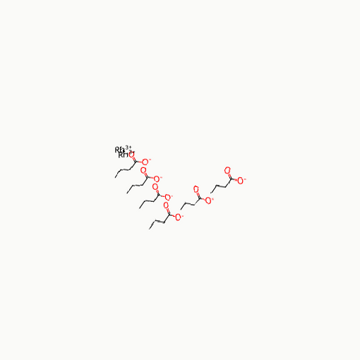 CCCC(=O)[O-].CCCC(=O)[O-].CCCC(=O)[O-].CCCC(=O)[O-].CCCC(=O)[O-].CCCC(=O)[O-].[Rh+3].[Rh+3]